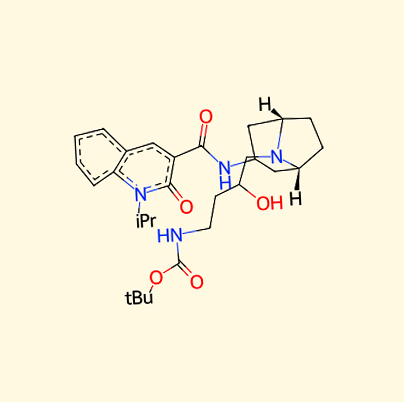 CC(C)n1c(=O)c(C(=O)NC2C[C@H]3CC[C@@H](C2)N3CC(O)CCNC(=O)OC(C)(C)C)cc2ccccc21